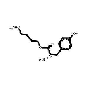 CC(=O)N[C@@H](Cc1ccc(O)cc1)C(=O)OCCCCO[N+](=O)[O-]